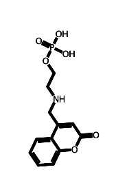 O=c1cc(CNCCOP(=O)(O)O)c2ccccc2o1